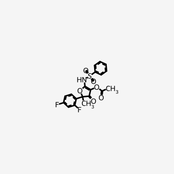 CC(=O)OC1=C(NS(=O)(=O)c2ccccc2)OC(C)(c2ccc(F)cc2F)C1=O